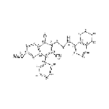 COc1ccc2c(=O)n(CCNc3cccc4c3CCCC4)c(C#N)c(-c3ccccc3)c2c1